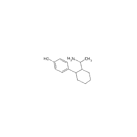 CC(N)C1CCCCC1c1ccc(O)cc1